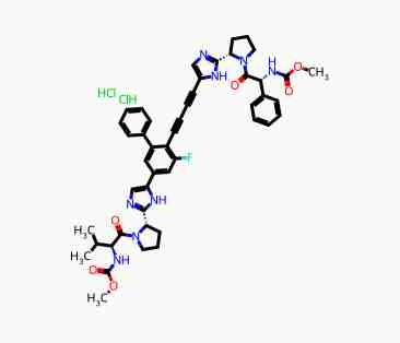 COC(=O)N[C@H](C(=O)N1CCC[C@H]1c1ncc(-c2cc(F)c(C#CC#Cc3cnc([C@@H]4CCCN4C(=O)[C@H](NC(=O)OC)c4ccccc4)[nH]3)c(-c3ccccc3)c2)[nH]1)C(C)C.Cl.Cl